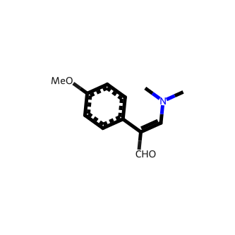 COc1ccc(/C(C=O)=C\N(C)C)cc1